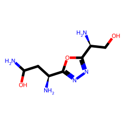 NC(O)C[C@H](N)c1nnc([C@@H](N)CO)o1